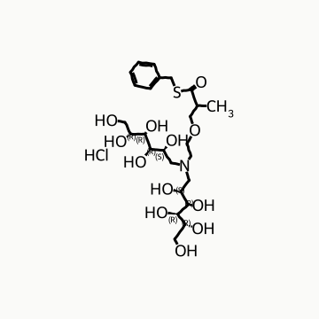 CC(COCCN(C[C@H](O)[C@@H](O)[C@H](O)[C@H](O)CO)C[C@H](O)[C@@H](O)[C@H](O)[C@H](O)CO)C(=O)SCc1ccccc1.Cl